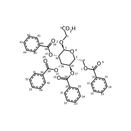 O=C(O)CO[C@H]1O[C@H](COC(=O)c2ccccc2)[C@@H](OC(=O)c2ccccc2)[C@H](OC(=O)c2ccccc2)[C@@H]1OC(=O)c1ccccc1